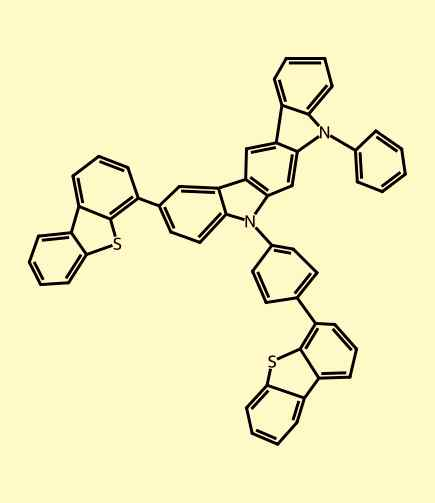 c1ccc(-n2c3ccccc3c3cc4c5cc(-c6cccc7c6sc6ccccc67)ccc5n(-c5ccc(-c6cccc7c6sc6ccccc67)cc5)c4cc32)cc1